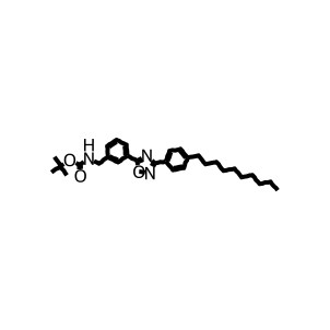 CCCCCCCCCCc1ccc(-c2noc(-c3cccc(CNC(=O)OC(C)(C)C)c3)n2)cc1